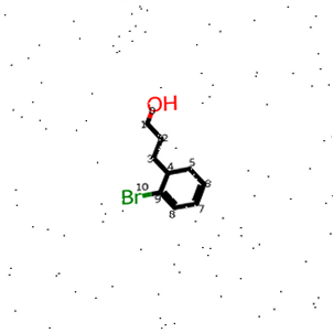 OCCCC1CC=CC=C1Br